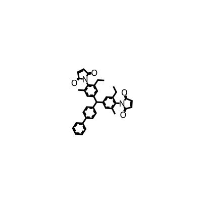 CCc1cc(C(c2ccc(-c3ccccc3)cc2)c2cc(C)c(N3C(=O)C=CC3=O)c(CC)c2)cc(C)c1N1C(=O)C=CC1=O